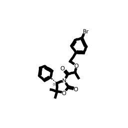 CC(OCc1ccc(Br)cc1)C(=O)N1C(=O)OC(C)(C)[C@@H]1c1ccccc1